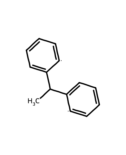 CC(c1[c]cccc1)c1[c]cccc1